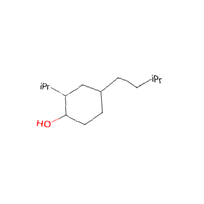 CC(C)CCC1CCC(O)C(C(C)C)C1